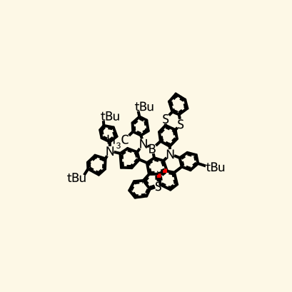 Cc1cc(C(C)(C)C)ccc1N1B2c3cc4c(cc3N(c3ccc(C(C)(C)C)cc3-c3ccccc3)c3cc5sc6ccccc6c5c(c32)-c2ccc(N(c3ccc(C(C)(C)C)cc3)c3ccc(C(C)(C)C)cc3)cc21)Sc1ccccc1S4